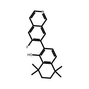 CC1(C)CCC(C)(C)c2c1ccc(-c1cc3cnccc3cc1F)c2O